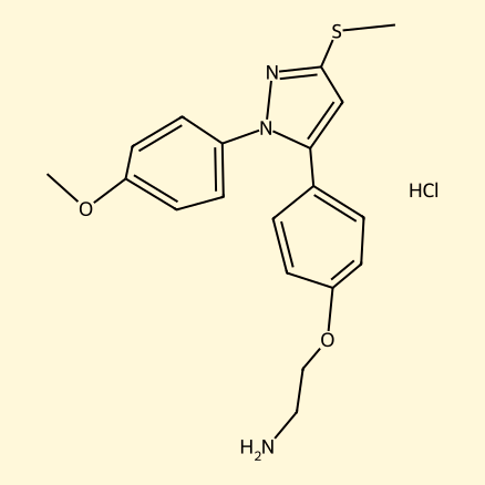 COc1ccc(-n2nc(SC)cc2-c2ccc(OCCN)cc2)cc1.Cl